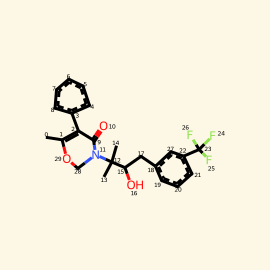 CC1=C(c2ccccc2)C(=O)N(C(C)(C)C(O)Cc2cccc(C(F)(F)F)c2)CO1